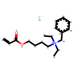 C=CC(=O)OCCCC[N+](CC)(CC)Cc1ccccc1.[F-]